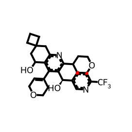 OC1CC2(CCC2)Cc2nc(C3CCOCC3)c([C@H](O)c3ccc(C(F)(F)F)nc3)c(C3=CCOCC3)c21